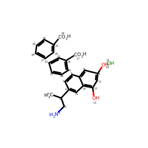 CC(CN)c1ccc2cc(O)cc(O)c2c1.Cl.O=C(O)c1ccccc1.O=C(O)c1ccccc1